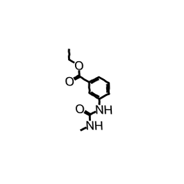 CCOC(=O)c1cccc(NC(=O)NC)c1